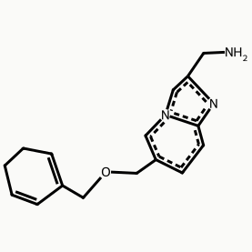 NCc1cn2cc(COCC3=CCCC=C3)ccc2n1